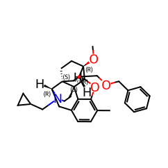 CO[C@]12CC[C@@]3(C[C@H]1COCc1ccccc1)[C@H]1Cc4ccc(C)c5c4[C@@]3(CCN1CC1CC1)[C@H]2O5